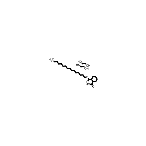 CCCCCCCCCCCCCCCCOC(=O)C1CCCCC1C(=O)O.OCCO.OCCO